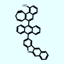 Oc1cccc2cc(-c3c4ccccc4c(-c4ccc5sc6cc7ccccc7cc6c5c4)c4ccccc34)c3c(c12)C#CCC=C3